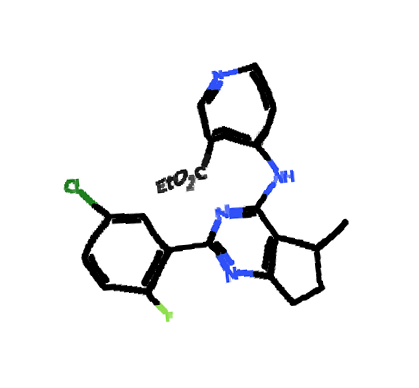 CCOC(=O)c1cnccc1Nc1nc(-c2cc(Cl)ccc2F)nc2c1C(C)CC2